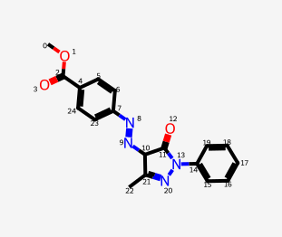 COC(=O)c1ccc(N=NC2C(=O)N(c3ccccc3)N=C2C)cc1